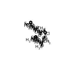 COC(=O)CSc1cc(/N=c2\sc(=O)n3n2CCCC3)c(F)cc1Cl.COc1cc(OC)nc(NC(=O)NS(=O)(=O)c2ncccc2C(=O)N(C)C)n1.COc1nc(C)nc(NC(=O)NS(=O)(=O)c2ccccc2CCC(F)(F)F)n1